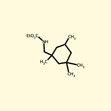 CCOC(=O)NCC1(C)CC(C)CC(C)(C)C1